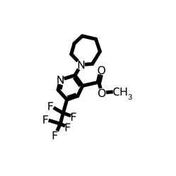 COC(=O)c1cc(C(F)(F)C(F)(F)F)cnc1N1CCCCCC1